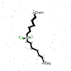 CCCCCCCCCCCCCCCC[Te](Cl)(Cl)CCCCCCCCCCCCCCCC